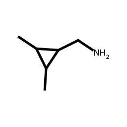 CC1C(C)C1CN